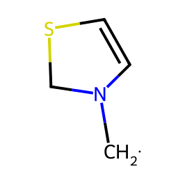 [CH2]N1C=CSC1